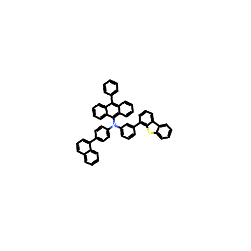 c1ccc(-c2c3ccccc3c(N(c3ccc(-c4cccc5ccccc45)cc3)c3cccc(-c4cccc5c4sc4ccccc45)c3)c3ccccc23)cc1